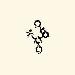 CS(=O)(=O)OCc1nc(-c2cccc3nn(C4CCCCO4)cc23)nc(N2CCOCC2)n1